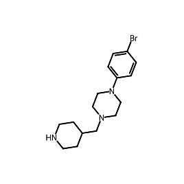 Brc1ccc(N2CCN(CC3CCNCC3)CC2)cc1